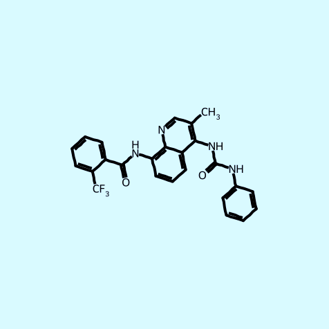 Cc1cnc2c(NC(=O)c3ccccc3C(F)(F)F)cccc2c1NC(=O)Nc1ccccc1